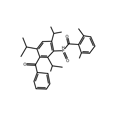 Cc1cccc(C)c1C(=O)[PH](=O)c1c(C(C)C)cc(C(C)C)c(C(=O)c2ccccc2)c1C(C)C